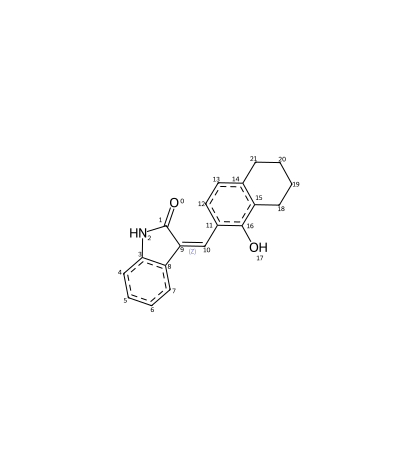 O=C1Nc2ccccc2/C1=C/c1ccc2c(c1O)CCCC2